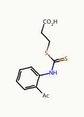 CC(=O)c1ccccc1NC(=S)SCCC(=O)O